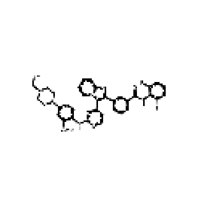 COc1cc(C2CCN(CC(C)C)CC2)ccc1Nc1nccc(-c2c(-c3cccc(C(=O)Nc4c(F)cccc4F)c3)nc3ccccn23)n1